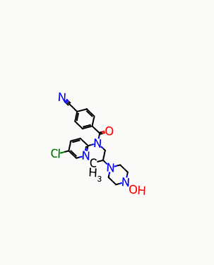 CC(CN(C(=O)c1ccc(C#N)cc1)c1ccc(Cl)cn1)N1CCN(O)CC1